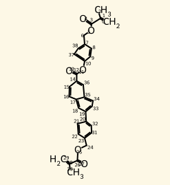 C=C(C)C(=O)OCc1ccc(OC(=O)c2ccc3cc(-c4ccc(COC(=O)C(=C)C)cc4)ccc3c2)cc1